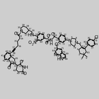 CC1(C)CCC(CN2CCN(c3ccc(C(=O)NS(=O)(=O)c4ccc(NCC5CCCN(C(=O)CCCC#Cc6cccc7c6CN(C6CCC(=O)NC6=O)C7=O)C5)c([N+](=O)[O-])c4)c(Oc4cnc5[nH]ccc5c4)c3)CC2)=C(c2ccc(Cl)cc2)C1